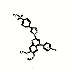 COc1cc2nc(-n3cc(-c4ccc(S(C)(=O)=O)cc4)cn3)nc(-c3ccc(C)cc3)c2cc1OC